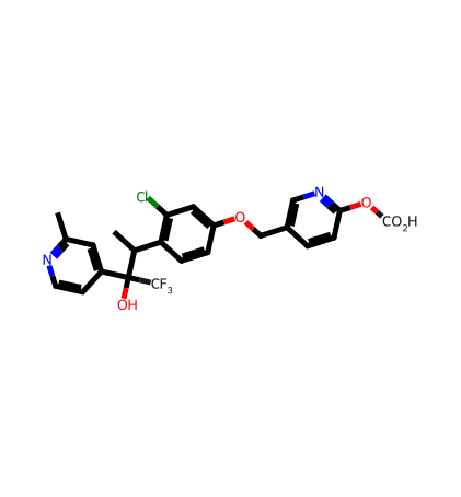 Cc1cc(C(O)(C(C)c2ccc(OCc3ccc(OC(=O)O)nc3)cc2Cl)C(F)(F)F)ccn1